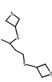 CC(CCSC1CSC1)SC1CSC1